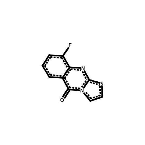 O=c1c2cccc(F)c2nc2sccn12